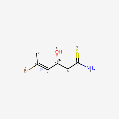 C/C(Br)=C\[C@H](O)CC(N)=S